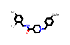 COc1ccc(CN2CCC(C(=O)NCc3ccc(C#N)cc3C(F)(F)F)CC2)cc1